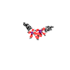 O=P([O-])([O-])[O-].O=P([O-])([O-])[O-].[Cu+2].[Cu+2].[Cu+2].[Cu+2].[Cu+2].[O-2].[O-2]